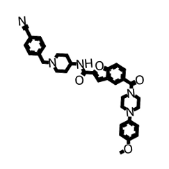 COc1ccc(N2CCN(C(=O)c3ccc4oc(C(=O)NC5CCN(Cc6ccc(C#N)cc6)CC5)cc4c3)CC2)cc1